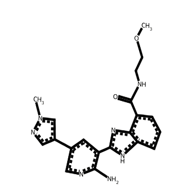 COCCNC(=O)c1cccc2[nH]c(-c3cc(-c4cnn(C)c4)cnc3N)nc12